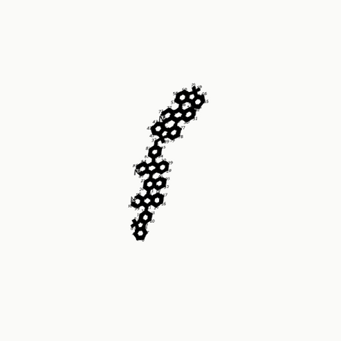 CC1(C)c2ccccc2-c2ccc(-c3c4ccccc4c(-c4ccc(-c5c6ccccc6c(-c6ccc(CC7(C)c8ccccc8-c8c(-c9c%10ccccc%10c(-c%10cccc%11c%10-c%10ccccc%10C%11(C)C)c%10ccncc9%10)cccc87)cc6)c6ccncc56)c5ccccc45)c4cnccc34)cc21